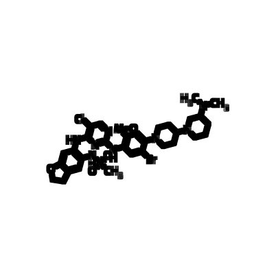 COc1cc(N2CCC(N3CCCC(N(C)C)C3)CC2)c(Br)cc1Nc1ncc(Cl)c(Nc2cc3c(cc2NS(C)(=O)=O)CCO3)n1